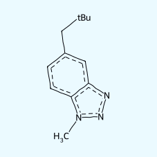 Cn1nnc2cc(CC(C)(C)C)ccc21